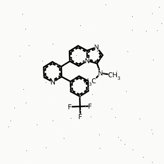 CN(C)c1cnc2ccc(-c3cccnc3-c3cccc(C(F)(F)F)c3)cn12